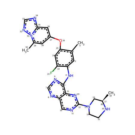 Cc1cc(Nc2ncnc3cnc(N4CCN[C@H](C)C4)nc23)c(F)cc1Oc1cc(C)n2ncnc2c1